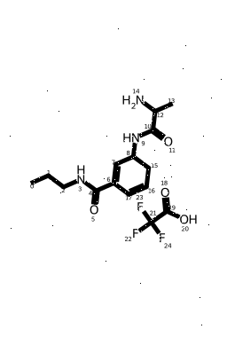 CCCNC(=O)C1=CC(NC(=O)C(C)N)CC=C1.O=C(O)C(F)(F)F